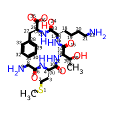 CSCC[C@H](NC(=O)CN)C(=O)N[C@H](C(=O)N[C@@H](CCCCN)C(=O)N[C@@H](Cc1ccccc1)C(=O)O)[C@@H](C)O